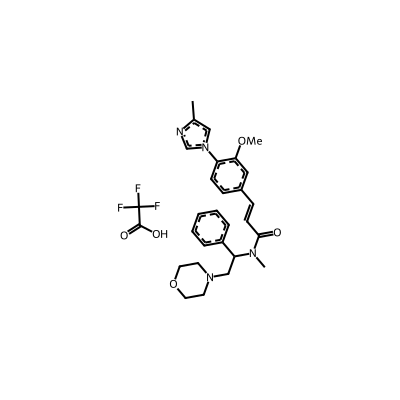 COc1cc(C=CC(=O)N(C)C(CN2CCOCC2)c2ccccc2)ccc1-n1cnc(C)c1.O=C(O)C(F)(F)F